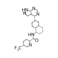 O=C(NC1CCCc2cc(-c3ncnc4[nH]ncc34)ccc21)c1ccc(C(F)(F)F)cn1